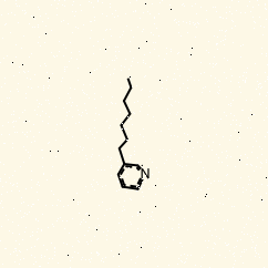 CCCCCCCc1[c]nccc1